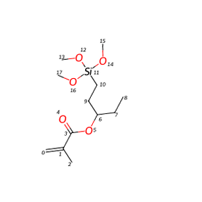 C=C(C)C(=O)OC(CC)CC[Si](OC)(OC)OC